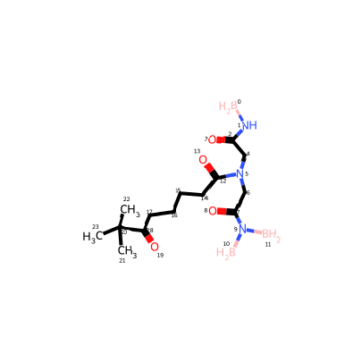 BNC(=O)CN(CC(=O)N(B)B)C(=O)CCCCC(=O)C(C)(C)C